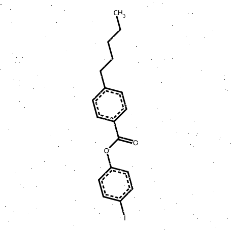 CCCCCc1ccc(C(=O)Oc2ccc(I)cc2)cc1